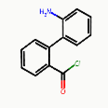 Nc1ccccc1-c1ccccc1C(=O)Cl